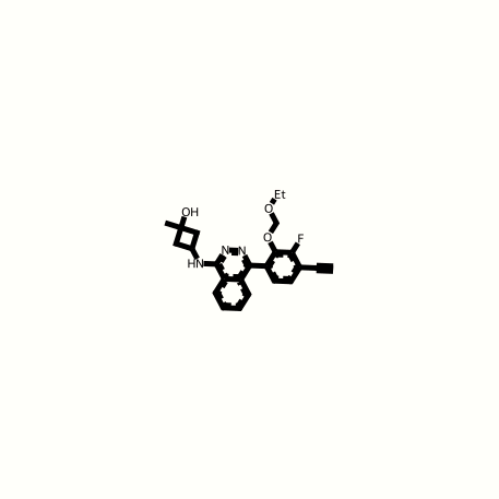 C#Cc1ccc(-c2nnc(NC3CC(C)(O)C3)c3ccccc23)c(OCOCC)c1F